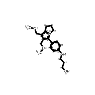 COCc1c(COC)c(-c2ccc(NCCCO)cc2)n2c1CCC2